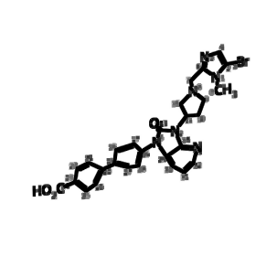 Cn1c(Br)cnc1CN1CCC(n2c(=O)n(-c3ccc(-c4ccc(C(=O)O)cc4)cc3)c3cccnc32)C1